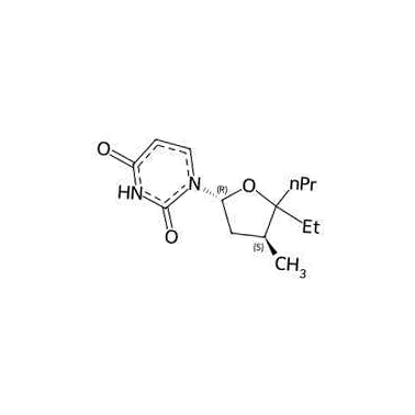 CCCC1(CC)O[C@@H](n2ccc(=O)[nH]c2=O)C[C@@H]1C